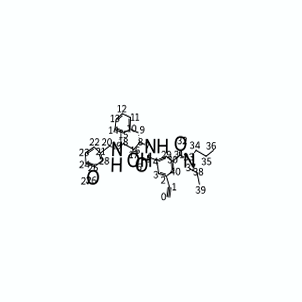 C#Cc1cc(C(=O)N[C@@H](Cc2ccccc2)[C@H](O)CNCc2cccc(OC)c2)cc(C(=O)N(CCC)CCC)c1